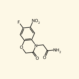 NC(=O)CN1C(=O)COc2cc(F)c([N+](=O)[O-])cc21